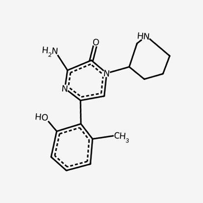 Cc1cccc(O)c1-c1cn(C2CCCNC2)c(=O)c(N)n1